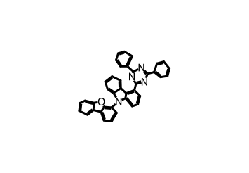 c1ccc(-c2nc(-c3ccccc3)nc(-c3cccc4c3c3ccccc3n4-c3cccc4c3oc3ccccc34)n2)cc1